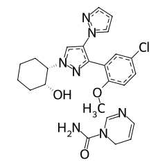 COc1ccc(Cl)cc1-c1nn([C@H]2CCCC[C@H]2O)cc1-n1cccn1.NC(=O)N1C=NC=CC1